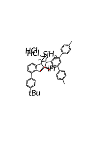 CC1=Cc2c(-c3ccc(C)cc3)cc(-c3ccc(C)cc3)cc2[CH]1[Zr]([CH3])([CH3])(=[SiH2])[CH]1C(C(C)C)=Cc2c(-c3ccc(C(C)(C)C)cc3)cccc21.Cl.Cl